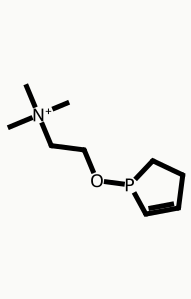 C[N+](C)(C)CCOP1C=CCC1